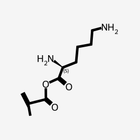 C=C(C)C(=O)OC(=O)[C@@H](N)CCCCN